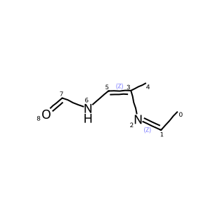 C/C=N\C(C)=C/NC=O